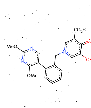 COc1ncc(-c2ccccc2Cn2cc(O)c(=O)c(C(=O)O)c2)c(OC)n1